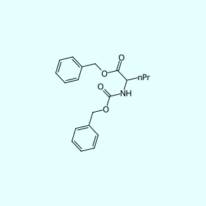 CCCC(NC(=O)OCc1ccccc1)C(=O)OCc1ccccc1